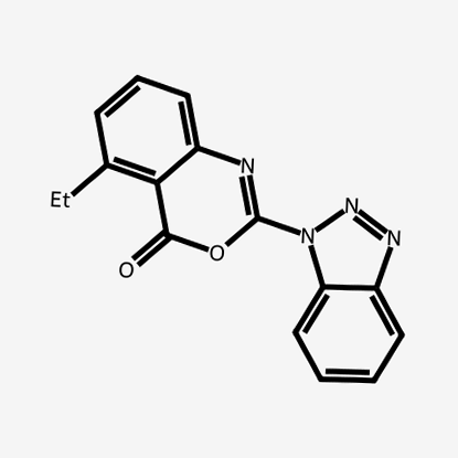 CCc1cccc2nc(-n3nnc4ccccc43)oc(=O)c12